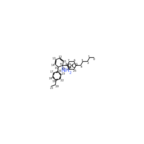 CCCCCC12CCC(C3(N)C=CC=CC3c3ccc(CC)cc3)(CC1)CC2